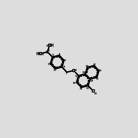 OB(O)c1ccc(COc2ccc(Cl)c3ccccc23)cc1